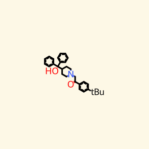 CC(C)(C)c1ccc(C(=O)CN2CCC(C(O)(c3ccccc3)c3ccccc3)CC2)cc1